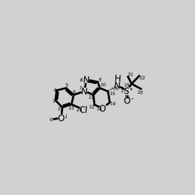 COc1cccc(-n2ncc3c2COC[C@H]3N[S@@+]([O-])C(C)(C)C)c1Cl